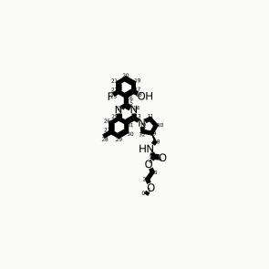 COCCOC(=O)NC[C@@H]1CCN(c2nc(-c3c(O)cccc3F)nc3cc(C)ccc23)C1